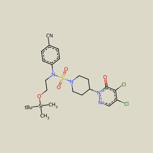 CC(C)(C)[Si](C)(C)OCCN(c1ccc(C#N)cc1)S(=O)(=O)N1CCC(n2ncc(Cl)c(Cl)c2=O)CC1